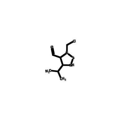 CC(C)C1NSN(CCl)C1C=O